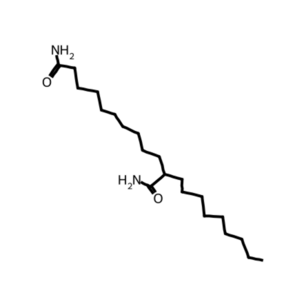 CCCCCCCCCC(CCCCCCCCCC(N)=O)C(N)=O